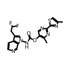 Cc1csc(-c2ncc(OC(=O)Nn3cc(CC(F)F)c4ccncc43)c(C)n2)n1